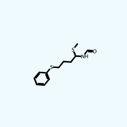 CSC(CCCSc1ccccc1)NC=O